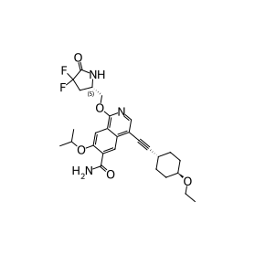 CCO[C@H]1CC[C@H](C#Cc2cnc(OC[C@@H]3CC(F)(F)C(=O)N3)c3cc(OC(C)C)c(C(N)=O)cc23)CC1